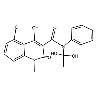 Cn1c(=O)c(C(=O)N(c2ccccc2)C(C)(O)O)c(O)c2c(Cl)cccc21